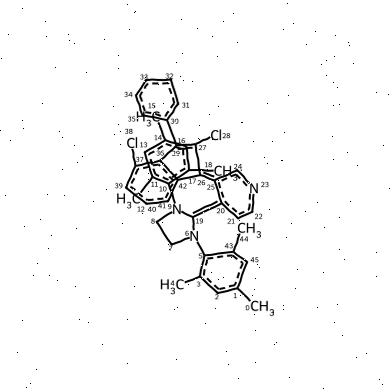 Cc1cc(C)c(N2CCN(c3c(C)cc(C)cc3C)C2=c2ccn[c]c2=C2C(Cl)=C(c3ccccc3)c3c(Cl)cccc32)c(C)c1